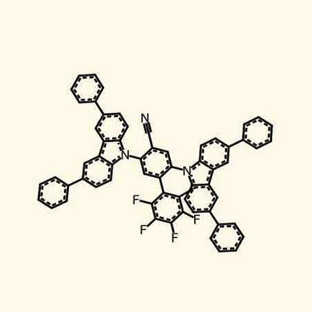 N#Cc1cc(-n2c3ccc(-c4ccccc4)cc3c3cc(-c4ccccc4)ccc32)c(-c2c(F)c(F)c(F)c(F)c2F)cc1-n1c2ccc(-c3ccccc3)cc2c2cc(-c3ccccc3)ccc21